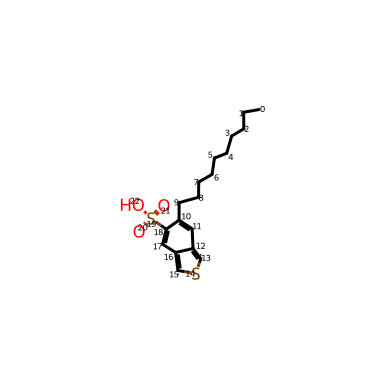 CCCCCCCCCCc1cc2[c]s[c]c2cc1S(=O)(=O)O